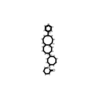 O=C1CCCCN1C1CCCCC(C2CCCC3CCCC(c4ccccc4)CCCC3CC2)CC1